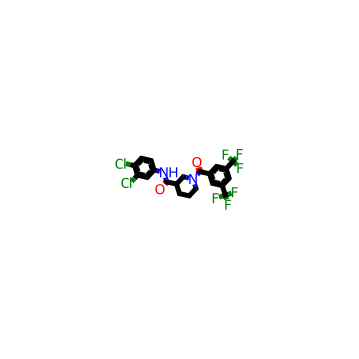 O=C(Nc1ccc(Cl)c(Cl)c1)C1CCCN(C(=O)c2cc(C(F)(F)F)cc(C(F)(F)F)c2)C1